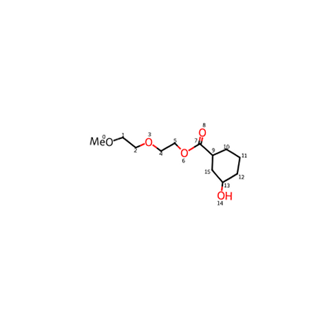 COCCOCCOC(=O)C1CCCC(O)C1